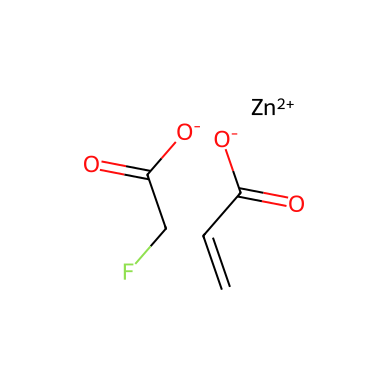 C=CC(=O)[O-].O=C([O-])CF.[Zn+2]